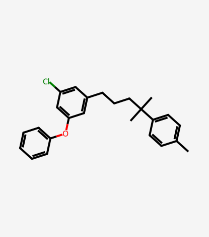 Cc1ccc(C(C)(C)CCCc2cc(Cl)cc(Oc3ccccc3)c2)cc1